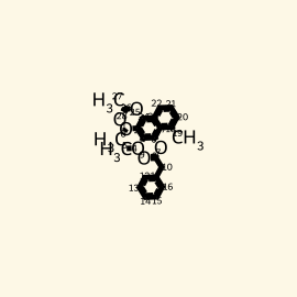 COc1c(OC)c(OC(=O)Cc2ccccc2)c2c(C)cccc2c1OC(C)=O